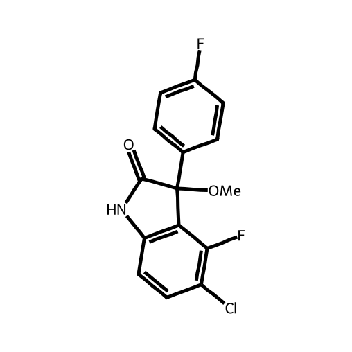 COC1(c2ccc(F)cc2)C(=O)Nc2ccc(Cl)c(F)c21